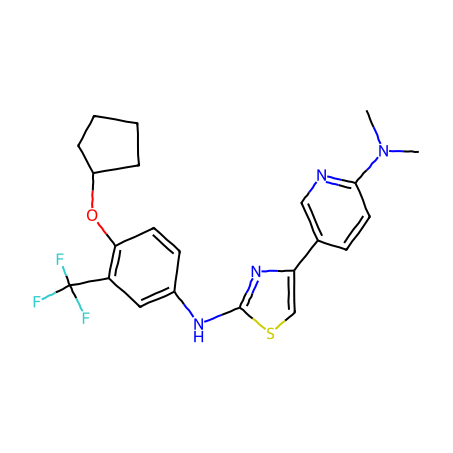 CN(C)c1ccc(-c2csc(Nc3ccc(OC4CCCC4)c(C(F)(F)F)c3)n2)cn1